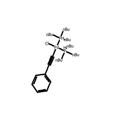 CCCC[PH](CCCC)(CCCC)[Pd]([Cl])([C]#Cc1ccccc1)[PH](CCCC)(CCCC)CCCC